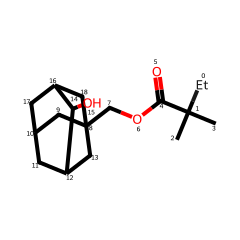 CCC(C)(C)C(=O)OCC12CC3CC(C1)C(O)C(C3)C2